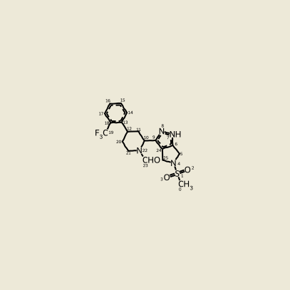 CS(=O)(=O)N1Cc2[nH]nc(C3CC(c4ccccc4C(F)(F)F)CCN3C=O)c2C1